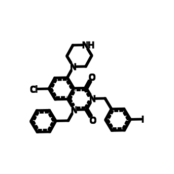 O=c1c2c(N3CCNCC3)cc(Cl)cc2n(Cc2ccccc2)c(=O)n1Cc1cccc(I)c1